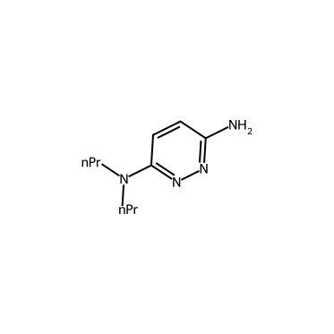 CCCN(CCC)c1ccc(N)nn1